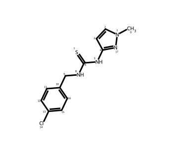 Cn1ccc(NC(=S)NCc2ccc(Cl)cc2)n1